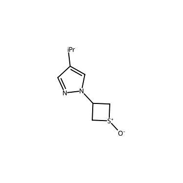 CC(C)c1cnn(C2C[S+]([O-])C2)c1